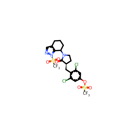 O=C1[C@H](Cc2c(Cl)cc(OS(=O)(=O)C(F)(F)F)cc2Cl)CCN1C1CCCc2cnn(S(=O)(=O)C(F)(F)F)c21